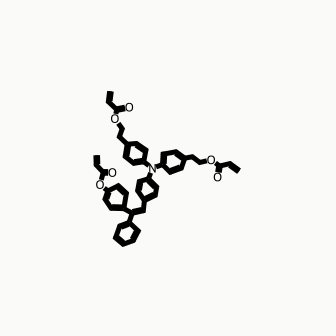 C=CC(=O)OCCc1ccc(N(c2ccc(C=C(c3ccccc3)c3ccc(OC(=O)C=C)cc3)cc2)c2ccc(CCOC(=O)C=C)cc2)cc1